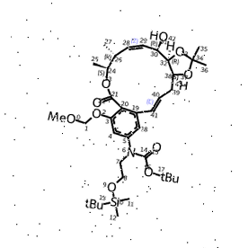 COCOc1cc(N(CCO[Si](C)(C)C(C)(C)C)C(=O)OC(C)(C)C)cc2c1C(=O)O[C@@H](C)[C@H](C)/C=C\[C@@H](O)[C@H]1OC(C)(C)O[C@H]1C/C=C/2